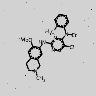 CCN(c1ccccc1C)c1nc(Nc2cc3c(cc2OC)CCN(C)C3)ncc1Cl